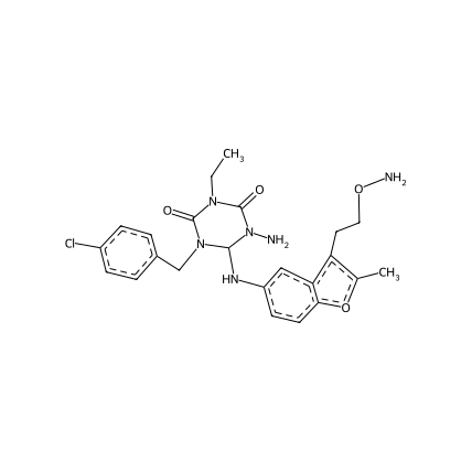 CCN1C(=O)N(N)C(Nc2ccc3oc(C)c(CCON)c3c2)N(Cc2ccc(Cl)cc2)C1=O